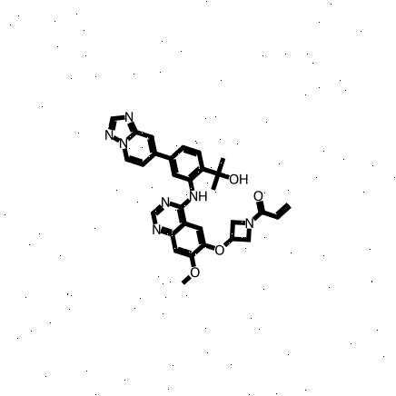 C=CC(=O)N1CC(Oc2cc3c(Nc4cc(-c5ccn6ncnc6c5)ccc4C(C)(C)O)ncnc3cc2OC)C1